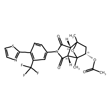 CC(=O)O[C@H]1CC2(C)OC1(C)[C@@H]1C(=O)N(c3ccc(-c4nccs4)c(C(F)(F)F)c3)C(=O)[C@@H]12